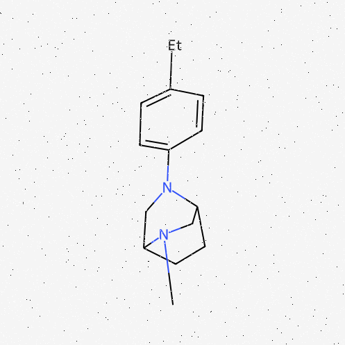 CCc1ccc(N2CC3CCC2CN3C)cc1